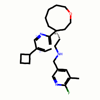 C=C(/N=C\C(=C/C)C1CCC1)[C@@]1(CCNCc2cnc(F)c(C)c2)CCCCCOCC1